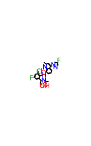 CC(=O)NC(CO)c1cc(F)cc(Cl)c1COc1cccc2c(-n3cc(F)cn3)cc(C)nc12